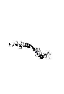 CC(C)COC(=O)NCc1cn(CCCCN(N)/C=C(\N)C(=O)NCc2cccc(OC(C)(C)F)c2)nn1